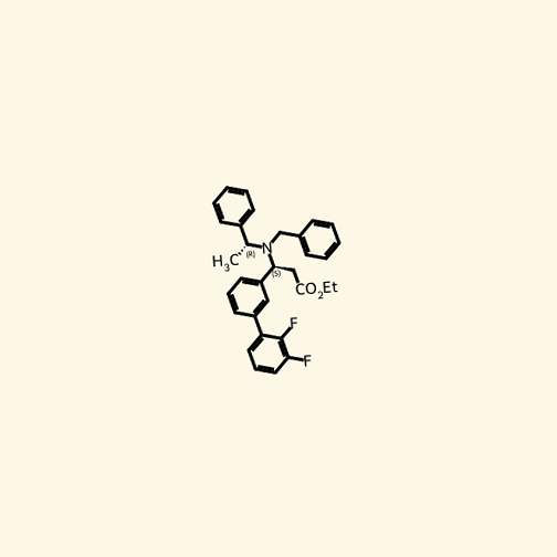 CCOC(=O)C[C@@H](c1cccc(-c2cccc(F)c2F)c1)N(Cc1ccccc1)[C@H](C)c1ccccc1